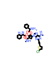 CNC(=O)C12CC(n3cnc4c(NC)nc(C#Cc5ccc(Cl)s5)nc43)(C1)C(OC(=O)C(N)c1ccccc1)C2OC(=O)C(N)c1ccccc1